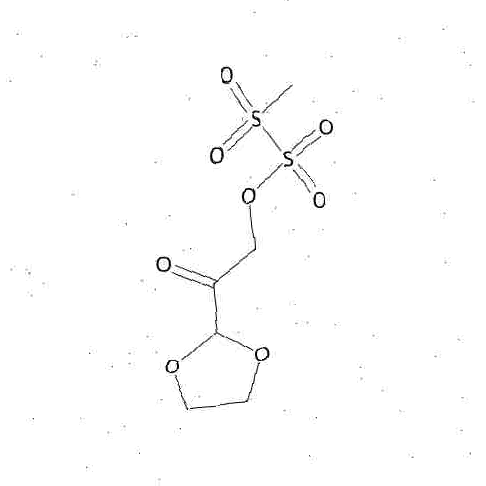 CS(=O)(=O)S(=O)(=O)OCC(=O)C1OCCO1